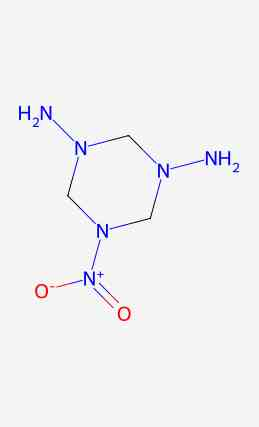 NN1CN(N)CN([N+](=O)[O-])C1